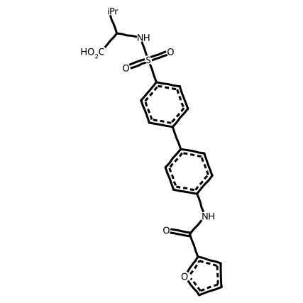 CC(C)C(NS(=O)(=O)c1ccc(-c2ccc(NC(=O)c3ccco3)cc2)cc1)C(=O)O